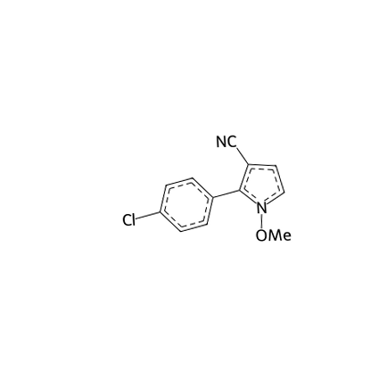 COn1ccc(C#N)c1-c1ccc(Cl)cc1